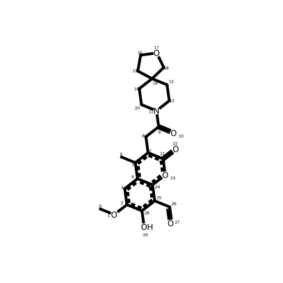 COc1cc2c(C)c(CC(=O)N3CCC4(CCOC4)CC3)c(=O)oc2c(C=O)c1O